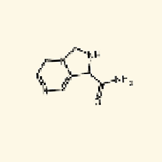 NC(=O)C1NCN2CC=NC=C12